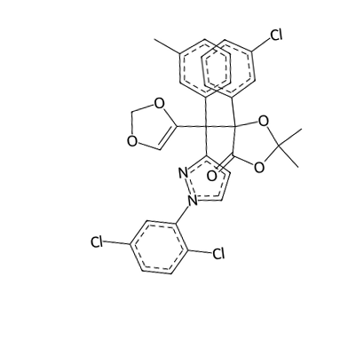 Cc1cccc(C(C2=COCO2)(c2ccn(-c3cc(Cl)ccc3Cl)n2)C2(c3cccc(Cl)c3)OC(C)(C)OC2=O)c1